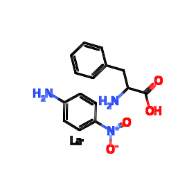 NC(Cc1ccccc1)C(=O)O.Nc1ccc([N+](=O)[O-])cc1.[La]